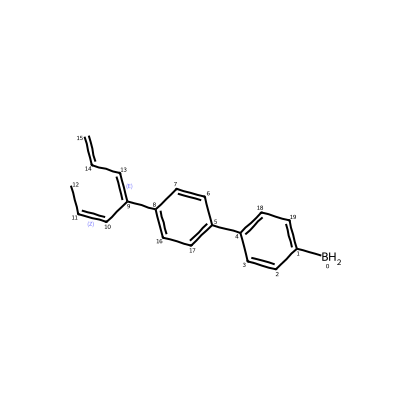 Bc1ccc(-c2ccc(C(/C=C\C)=C/C=C)cc2)cc1